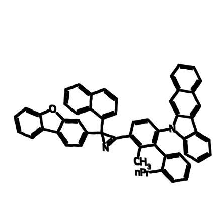 CCCc1ccccc1-c1c(-n2c3ccccc3c3cc4ccccc4cc32)ccc(C2=NC2(c2ccc3c(c2)oc2ccccc23)c2cccc3ccccc23)c1C